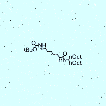 CCCCCCCCC(CCCCCCCC)NC(=O)CCCCCCCNC(=O)OC(C)(C)C